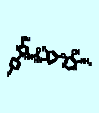 CC(C)(C)c1cc(NC(=O)Nc2ccc(Oc3ncnc(N)c3C#N)cc2F)n(-c2ccc(F)cc2)n1